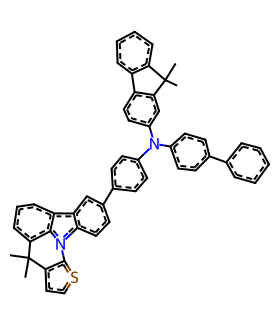 CC1(C)c2ccccc2-c2ccc(N(c3ccc(-c4ccccc4)cc3)c3ccc(-c4ccc5c(c4)c4cccc6c4n5-c4sccc4C6(C)C)cc3)cc21